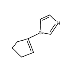 C1=C(n2ccnc2)CCC1